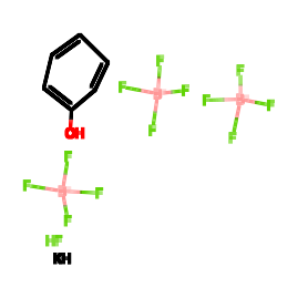 F.F[B-](F)(F)F.F[B-](F)(F)F.F[B-](F)(F)F.Oc1ccccc1.[KH]